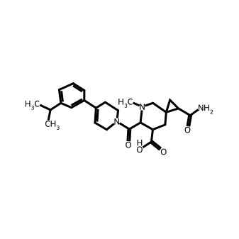 CC(C)c1cccc(C2=CCN(C(=O)C3C(C(=O)O)CC4(CC4C(N)=O)CN3C)CC2)c1